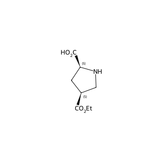 CCOC(=O)[C@@H]1CN[C@H](C(=O)O)C1